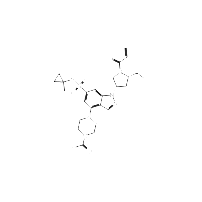 C=CC(=O)N1C[C@@H](n2ncc3c(N4CCN(C(=O)C(C)C)CC4)cc(S(=O)(=O)NC4(C)CC4)cc32)C[C@@H]1CF